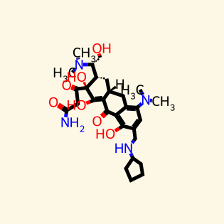 CN(C)c1cc(CNC2CCCC2)c(O)c2c1C[C@H]1C[C@@H]([C@@H](CO)N(C)C)[C@@](O)(C(=O)CC(N)=O)C(O)=C1C2=O